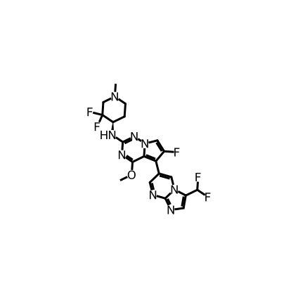 COc1nc(N[C@@H]2CCN(C)CC2(F)F)nn2cc(F)c(-c3cnc4ncc(C(F)F)n4c3)c12